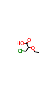 CCOC(CCl)C(=O)O